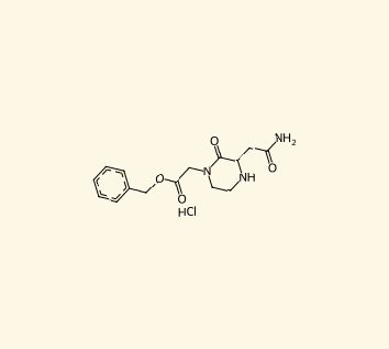 Cl.NC(=O)CC1NCCN(CC(=O)OCc2ccccc2)C1=O